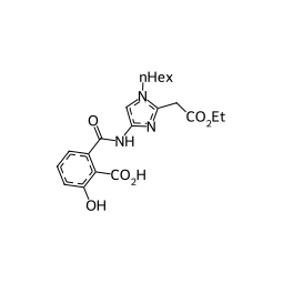 CCCCCCn1cc(NC(=O)c2cccc(O)c2C(=O)O)nc1CC(=O)OCC